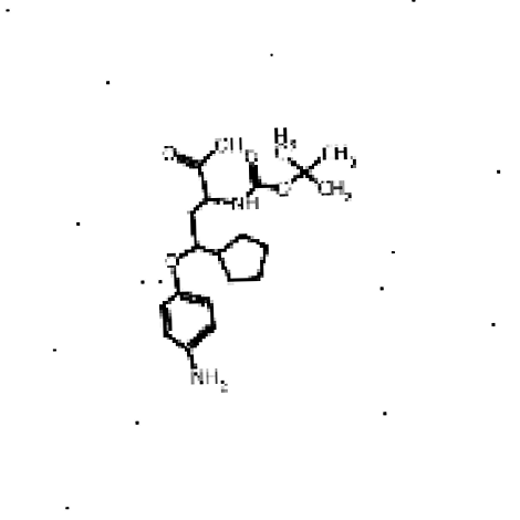 CC(C)(C)OC(=O)NC(CC(Oc1ccc(N)cc1)C1CCCC1)C(=O)O